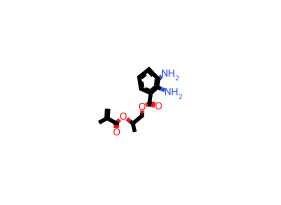 C=C(C)C(=O)OC(C)COC(=O)c1cccc(N)c1N